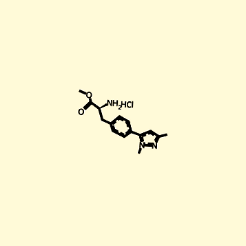 COC(=O)[C@@H](N)Cc1ccc(-c2cc(C)nn2C)cc1.Cl